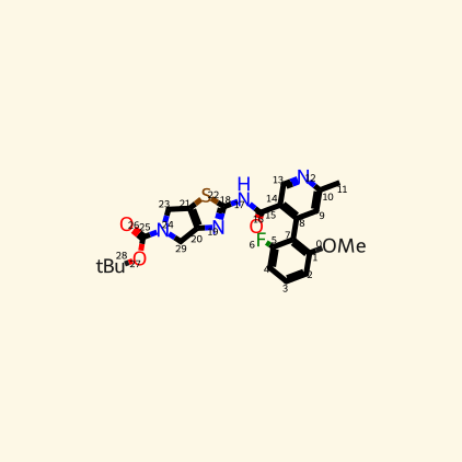 COc1cccc(F)c1-c1cc(C)ncc1C(=O)Nc1nc2c(s1)CN(C(=O)OC(C)(C)C)C2